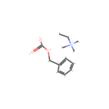 CC[N+](C)(C)C.O=C([O-])OCc1ccccc1